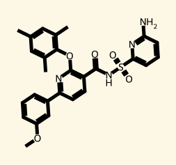 COc1cccc(-c2ccc(C(=O)NS(=O)(=O)c3cccc(N)n3)c(Oc3c(C)cc(C)cc3C)n2)c1